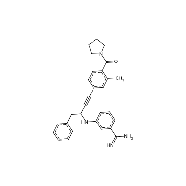 Cc1cc(C#CC(Cc2ccccc2)Nc2cccc(C(=N)N)c2)ccc1C(=O)N1CCCC1